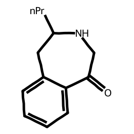 CCCC1Cc2ccccc2C(=O)CN1